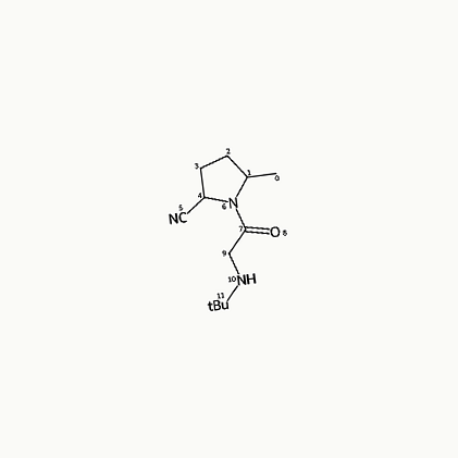 CC1CCC(C#N)N1C(=O)CNC(C)(C)C